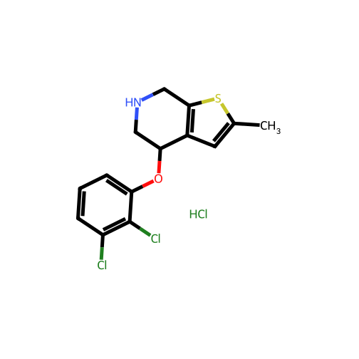 Cc1cc2c(s1)CNCC2Oc1cccc(Cl)c1Cl.Cl